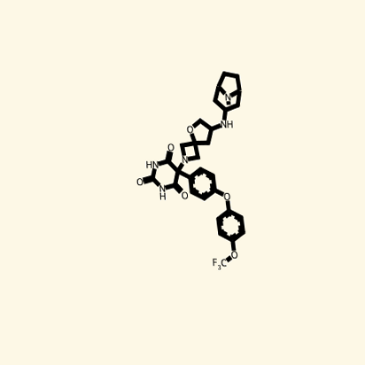 CN1C2CCC1CC(NC1COC3(C1)CN(C1(c4ccc(Oc5ccc(OC(F)(F)F)cc5)cc4)C(=O)NC(=O)NC1=O)C3)C2